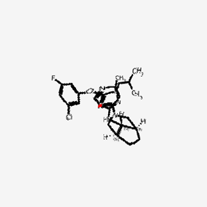 Cc1cc(N2C[C@H]3CC[C@@H](C2)[C@@H]3Nc2nc(Oc3cc(F)cc(Cl)c3)n(CC(C)C)n2)ncn1